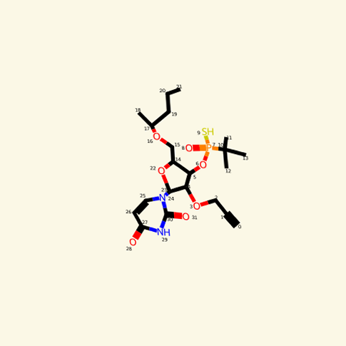 C#CCOC1C(OP(=O)(S)C(C)(C)C)C(COC(C)CCC)OC1n1ccc(=O)[nH]c1=O